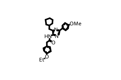 CCOc1ccc(CC(=O)Nc2ncc(-c3ccc(OC)cc3)nc2CC2CCCCC2)cc1